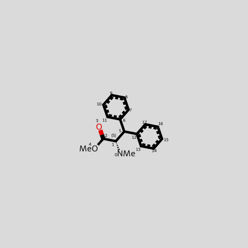 CN[C@H](C(=O)OC)C(c1ccccc1)c1ccccc1